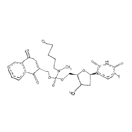 CN(CCCCCl)P(=O)(OCC1=CC(=O)c2ccccc2C1=O)OC[C@H]1O[C@@H](n2cc(F)c(=O)[nH]c2=O)CC1O